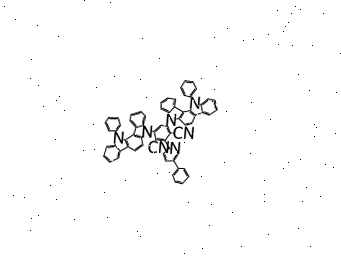 N#Cc1c(-n2c3ccccc3c3c2ccc2c4ccccc4n(-c4ccccc4)c23)cc(-n2c3ccccc3c3c2ccc2c4ccccc4n(-c4ccccc4)c23)c(C#N)c1-c1ccc(-c2ccccc2)cn1